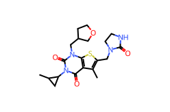 Cc1c(CN2CCNC2=O)sc2c1c(=O)n(C1CC1C)c(=O)n2CC1CCOC1